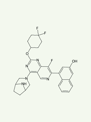 Oc1cc(-c2ncc3c(N4CC5CCC(C4)N5)nc(OC4CCC(F)(F)CC4)nc3c2F)c2ccccc2c1